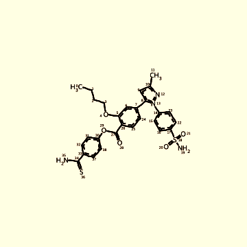 CCCCOc1cc(-c2cc(C)nn2-c2ccc(S(N)(=O)=O)cc2)ccc1C(=O)Oc1ccc(C(N)=S)cc1